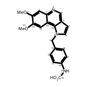 COc1cc2ncc3ccn(Cc4ccc(NC(=O)O)cc4)c3c2cc1OC